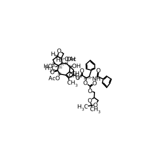 CC(=O)O[C@H]1C(=O)[C@@]2(C)[C@H]([C@H](O)[C@]3(O)C[C@H](OC(=O)[C@H](OC(=O)OCC4COC(C)(C)O4)[C@@H](NC(=O)c4ccccc4)c4ccccc4)C(C)=C1C3(C)C)[C@]1(OC(C)=O)CO[C@@H]1C[C@@H]2O